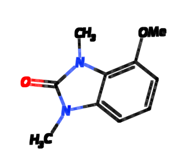 COc1cccc2c1n(C)c(=O)n2C